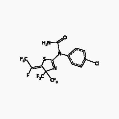 NC(=O)N(C1=NC(C(F)(F)F)(C(F)(F)F)/C(=C(\F)C(F)(F)F)S1)c1ccc(Cl)cc1